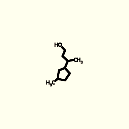 CC1CCC(C(C)CCO)C1